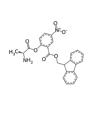 C[C@H](N)C(=O)Oc1ccc([N+](=O)[O-])cc1C(=O)OCC1c2ccccc2-c2ccccc21